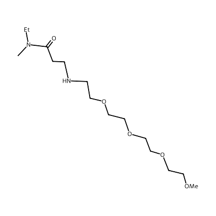 CCN(C)C(=O)CCNCCOCCOCCOCCOC